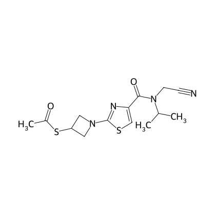 CC(=O)SC1CN(c2nc(C(=O)N(CC#N)C(C)C)cs2)C1